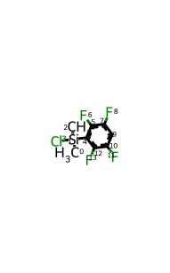 C[Si](C)(Cl)c1c(F)c(F)[c]c(F)c1F